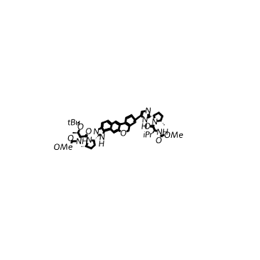 COC(=O)NC(C(=O)N1[C@@H](C)CC[C@H]1c1nc2ccc3cc4c(cc3c2[nH]1)OCc1cc(-c2cnc([C@@H]3CC[C@H](C)N3C(=O)[C@@H](NC(=O)OC)C(C)C)[nH]2)ccc1-4)[C@@H](C)OC(C)(C)C